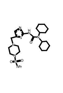 CCCS(=O)(=O)N1CCN(Cc2cnc(NC(=O)N(C3CCCCC3)C3CCCCC3)s2)CC1